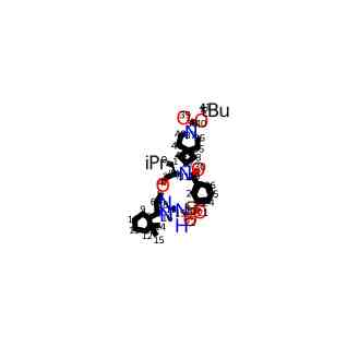 CC(C)C[C@@H]1COc2cc(C3CCCCC3(C)C)nc(n2)NS(=O)(=O)c2cccc(c2)C(=O)N1C1CC2(CCN(C(=O)OC(C)(C)C)CC2)C1